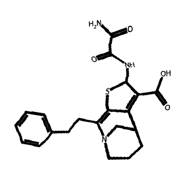 NC(=O)C(=O)NC1SC2=C(CCc3ccccc3)N3CCCC(C3)C2=C1C(=O)O